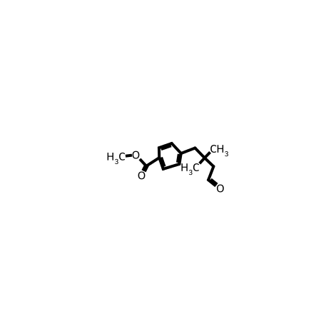 COC(=O)c1ccc(CC(C)(C)CC=O)cc1